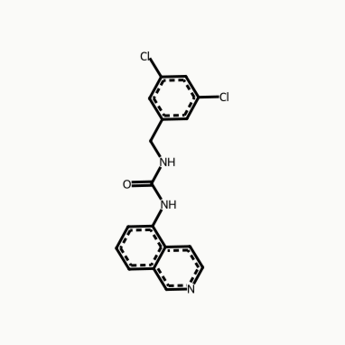 O=C(NCc1cc(Cl)cc(Cl)c1)Nc1cccc2cnccc12